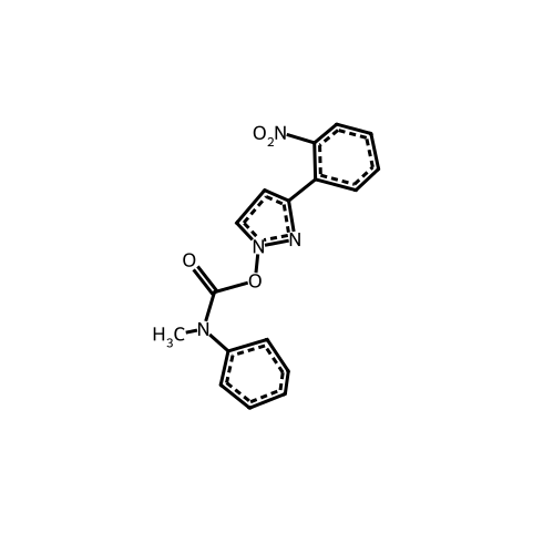 CN(C(=O)On1ccc(-c2ccccc2[N+](=O)[O-])n1)c1ccccc1